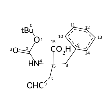 CC(C)(C)OC(=O)NC(CC=O)(Cc1ccccc1)C(=O)O